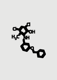 Cc1c(Cl)cc(Cl)c(O)c1NCc1cccc(OCc2ccccc2)c1